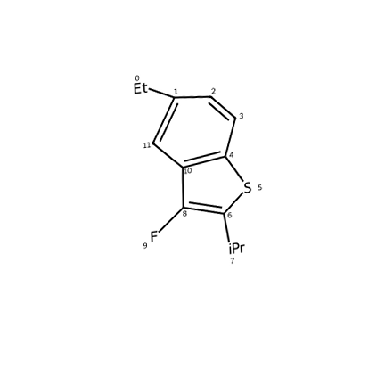 CCc1ccc2sc(C(C)C)c(F)c2c1